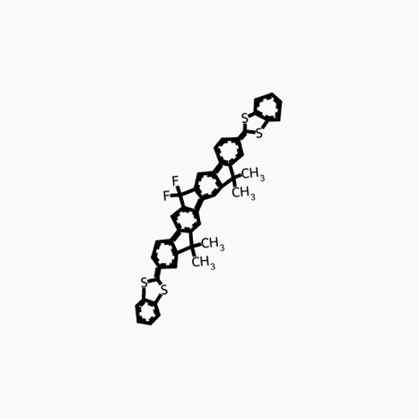 CC1(C)c2cc(=C3Sc4ccccc4S3)ccc2=c2cc3c(cc21)=c1cc2c(cc1C3(F)F)=c1ccc(=C3Sc4ccccc4S3)cc1C2(C)C